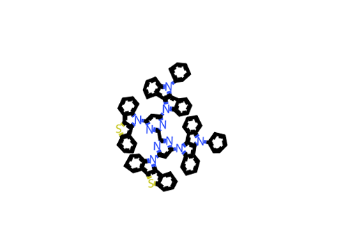 c1ccc(-n2c3ccccc3c3c2c2ccccc2n3-c2cc(-n3c4ccccc4c4sc5ccccc5c43)nc(-c3nc(-n4c5ccccc5c5sc6ccccc6c54)cc(-n4c5ccccc5c5c4c4ccccc4n5-c4ccccc4)n3)n2)cc1